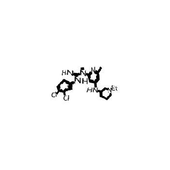 CCN1CCCC(Nc2cc(C)nc(N(C)C(=N)Nc3ccc(Cl)c(Cl)c3)c2)C1